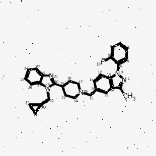 Cc1nn(-c2ccccc2F)c2ccc(CN3CCC(c4nc5ccccc5n4CC4CC4)CC3)cc12